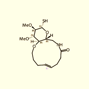 CO[C@@H]1[C@@H](OC)[C@H](S)O[C@@H]2CNC(=O)CC/C=C/CCCO[C@@H]12